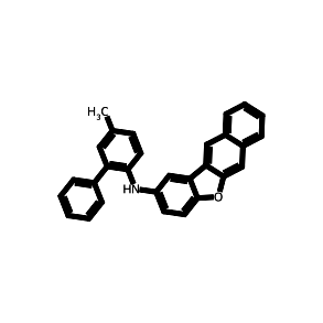 Cc1ccc(Nc2ccc3oc4cc5ccccc5cc4c3c2)c(-c2ccccc2)c1